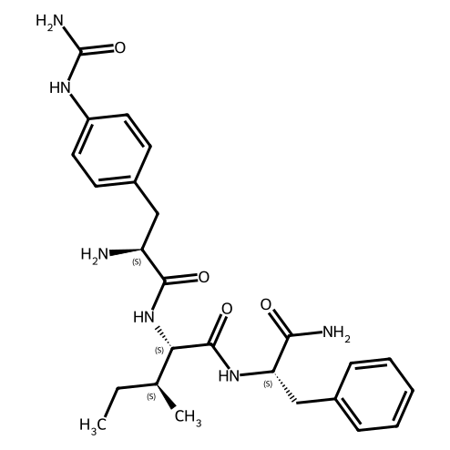 CC[C@H](C)[C@H](NC(=O)[C@@H](N)Cc1ccc(NC(N)=O)cc1)C(=O)N[C@@H](Cc1ccccc1)C(N)=O